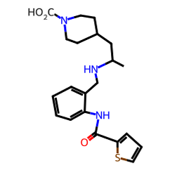 CC(CC1CCN(C(=O)O)CC1)NCc1ccccc1NC(=O)c1cccs1